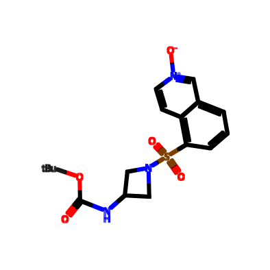 CC(C)(C)OC(=O)NC1CN(S(=O)(=O)c2cccc3c[n+]([O-])ccc23)C1